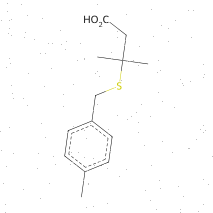 Cc1ccc(CSC(C)(C)CC(=O)O)cc1